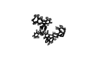 c1ccc(-c2nc(-c3ccc4c(c3)oc3cccc(-c5ccc6c(c5)oc5ccccc56)c34)nc(-n3c4ccccc4c4cc5ccccc5cc43)n2)cc1